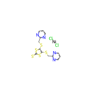 S=c1sc(SCc2ncccn2)c(SCc2ncccn2)s1.[Cl][Ni][Cl]